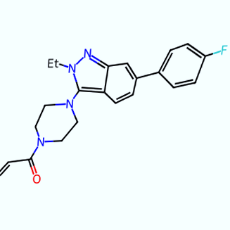 C=CC(=O)N1CCN(c2c3ccc(-c4ccc(F)cc4)cc3nn2CC)CC1